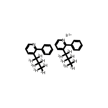 [2H]C([2H])([2H])C([2H])([2H])C([2H])([2H])c1cccnc1-c1ccccc1.[2H]C([2H])([2H])C([2H])([2H])C([2H])([2H])c1cccnc1-c1ccccc1.[Ir+3]